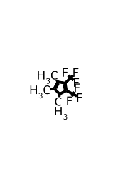 CC1=C(C)C(C)C(C(F)(F)F)=C1C(F)(F)F